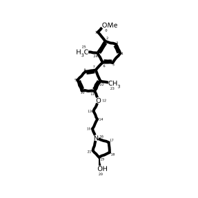 COCc1cccc(-c2cccc(OCCCN3CC[C@@H](O)C3)c2C)c1C